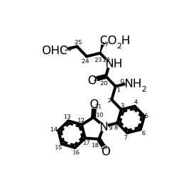 NC(Cc1ccccc1N1C(=O)c2ccccc2C1=O)C(=O)N[C@@H](CCC=O)C(=O)O